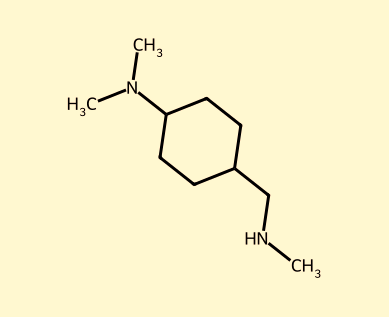 CNCC1CCC(N(C)C)CC1